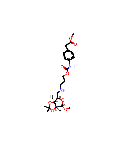 COC(=O)Cc1ccc(NC(=O)OCCCNC[C@H]2O[C@H](OC)[C@H]3OC(C)(C)O[C@H]32)cc1